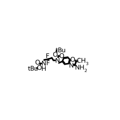 C[C@H]1Oc2ccc(CN(CCC(F)(F)CNC(=O)OC(C)(C)C)C(=O)OC(C)(C)C)cc2N=C1N